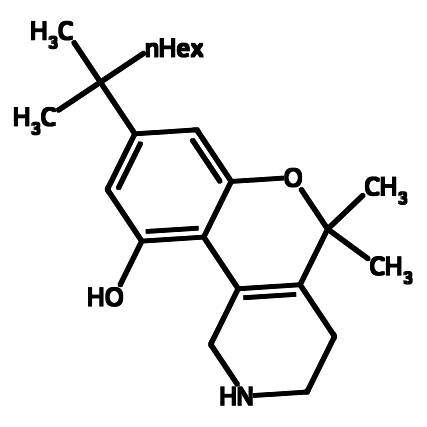 CCCCCCC(C)(C)c1cc(O)c2c(c1)OC(C)(C)C1=C2CNCC1